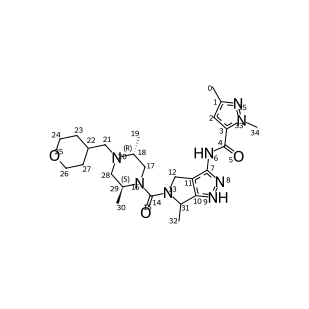 Cc1cc(C(=O)Nc2n[nH]c3c2CN(C(=O)N2C[C@@H](C)N(CC4CCOCC4)C[C@@H]2C)C3C)n(C)n1